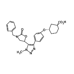 Cn1nnc(-c2ccc(O[C@H]3CCC[C@H](C(=O)O)C3)cc2)c1C1CN(Cc2ccccc2)C(=O)O1